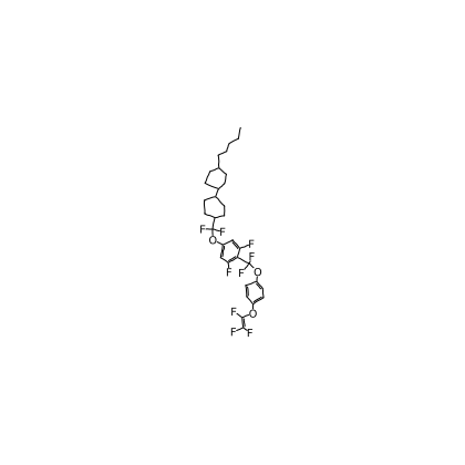 CCCCCC1CCC(C2CCC(C(F)(F)Oc3cc(F)c(C(F)(F)Oc4ccc(OC(F)=C(F)F)cc4)c(F)c3)CC2)CC1